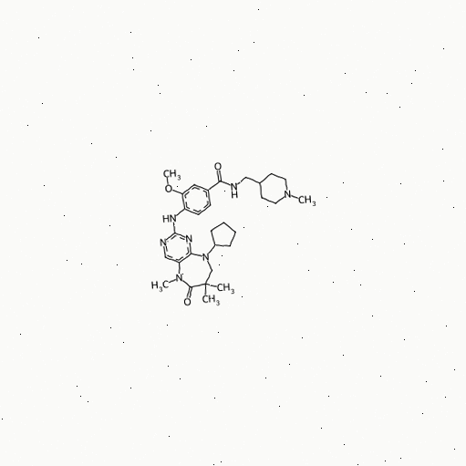 COc1cc(C(=O)NCC2CCN(C)CC2)ccc1Nc1ncc2c(n1)N(C1CCCC1)CC(C)(C)C(=O)N2C